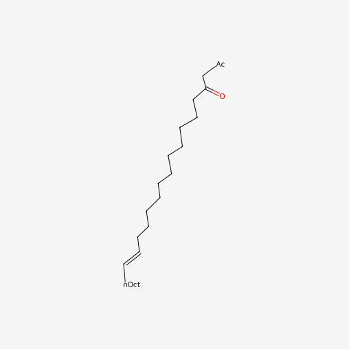 CCCCCCCCC=CCCCCCCCCCCCC(=O)CC(C)=O